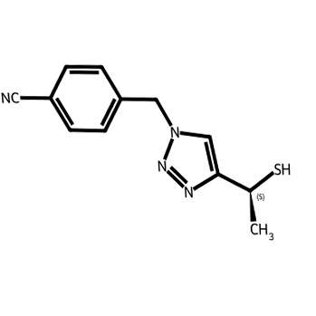 C[C@H](S)c1cn(Cc2ccc(C#N)cc2)nn1